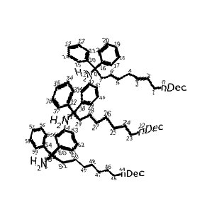 CCCCCCCCCCCCCCCCCC(N)(c1ccccc1)c1ccccc1.CCCCCCCCCCCCCCCCCC(N)(c1ccccc1)c1ccccc1.CCCCCCCCCCCCCCCCCC(N)(c1ccccc1)c1ccccc1